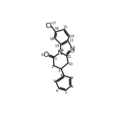 O=C1CC(c2ccccc2)Cc2nc3ccc(Cl)cc3n21